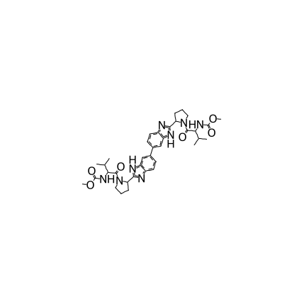 COC(=O)NC(C(=O)N1CCCC1c1nc2ccc(-c3ccc4nc(C5CCCN5C(=O)C(NC(=O)OC)C(C)C)[nH]c4c3)cc2[nH]1)C(C)C